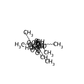 CCCCCCCCCCC[C@H](CC(=O)NC1[C@H](OC[C@H](NC(=O)C[C@@H](CCCCCCCCCCC)OC(=O)CCCCC)C(=O)O)OC(CO)[C@@H](OP(=O)(O)O)[C@@H]1OC(=O)C[C@@H](CCCCCCCCCCC)OC(=O)CCCCC)OC(=O)CCCCC